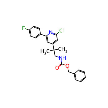 CC(C)(CNC(=O)OCc1ccccc1)c1cc(Cl)nc(-c2ccc(F)cc2)c1